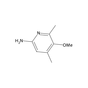 COc1c(C)cc(N)nc1C